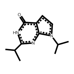 CC(C)c1nc2c(ccn2C(C)C)c(=O)[nH]1